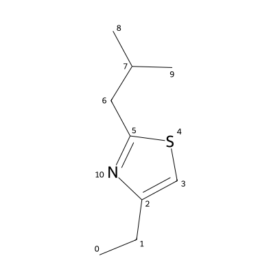 CCc1csc(CC(C)C)n1